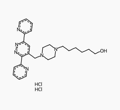 Cl.Cl.OCCCCCCN1CCN(Cc2cc(-c3ccccn3)nnc2-c2ccccn2)CC1